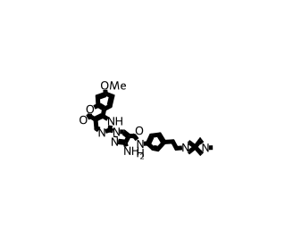 COc1ccc2c3c(c(=O)oc2c1)C=NC(n1cc(C(=O)Nc2ccc(CCN4CC5(CN(C)C5)C4)cc2)c(N)n1)N3